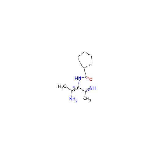 CC(=N)/C(NC(=O)C1CCCCC1)=C(/C)N